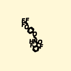 O=C(NCCOc1ccc(OCC(F)(F)F)cc1)c1c(F)cccc1F